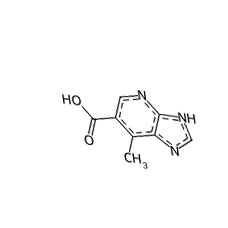 Cc1c(C(=O)O)cnc2[nH]cnc12